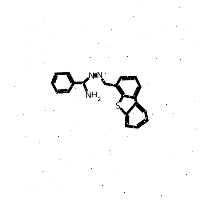 NC(/N=N\Cc1cccc2c1sc1ccccc12)c1ccccc1